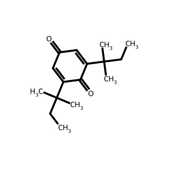 CCC(C)(C)C1=CC(=O)C=C(C(C)(C)CC)C1=O